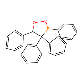 c1ccc(C2OOP(c3ccccc3)C2(c2ccccc2)c2ccccc2)cc1